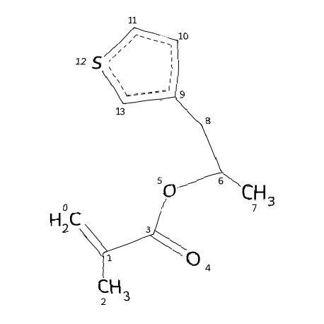 C=C(C)C(=O)OC(C)Cc1ccsc1